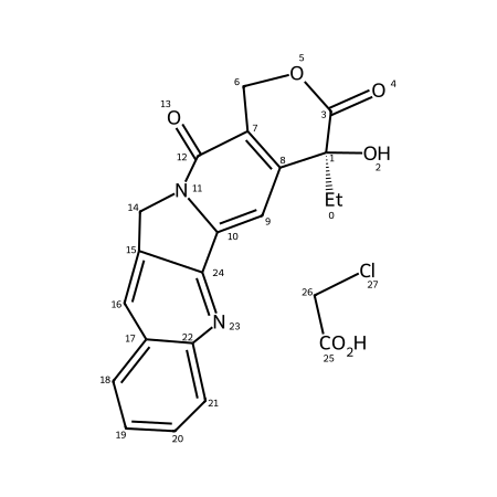 CC[C@@]1(O)C(=O)OCc2c1cc1n(c2=O)Cc2cc3ccccc3nc2-1.O=C(O)CCl